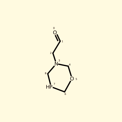 O=CCN1COCPC1